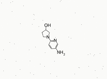 Nc1ccc(N2CCC(O)C2)nc1